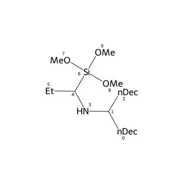 CCCCCCCCCCC(CCCCCCCCCC)NC(CC)[Si](OC)(OC)OC